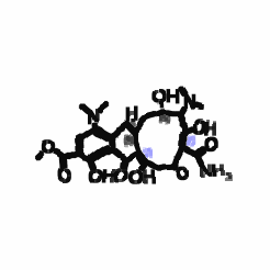 COC(=O)c1cc(N(C)C)c2c(c1O)C(=O)/C1=C(\O)CC(=O)/C(C(N)=O)=C(/O)C(N(C)C)[C@@H](O)C[C@@H]1C2